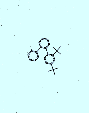 CC(C)(C)c1ccc(-c2ccccc2-c2[c]cccc2)c(C(C)(C)C)c1